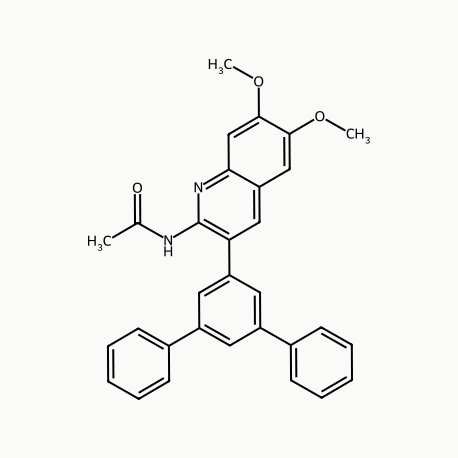 COc1cc2cc(-c3cc(-c4ccccc4)cc(-c4ccccc4)c3)c(NC(C)=O)nc2cc1OC